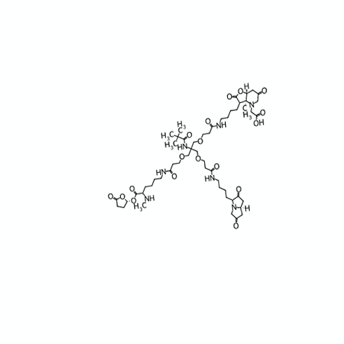 CNC(CCCCNC(=O)CCOCC(COCCC(=O)NCCCCC1C(=O)C[C@H]2CC(=O)CN12)(COCCC(=O)NCCCCC1C(=O)O[C@@H]2CC(=O)CN(CC(=O)O)[C@@]12C)NC(=O)C(C)(C)C)C(=O)O[C@@H]1CCC(=O)O1